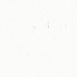 O=C(O)Nc1cc2cnc(Cl)cc2cn1